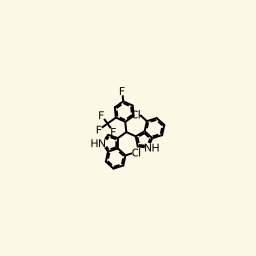 Fc1ccc(C(c2c[nH]c3cccc(Cl)c23)c2c[nH]c3cccc(Cl)c23)c(C(F)(F)F)c1